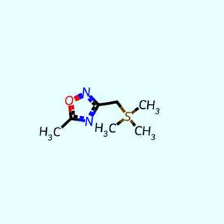 Cc1nc(CS(C)(C)C)no1